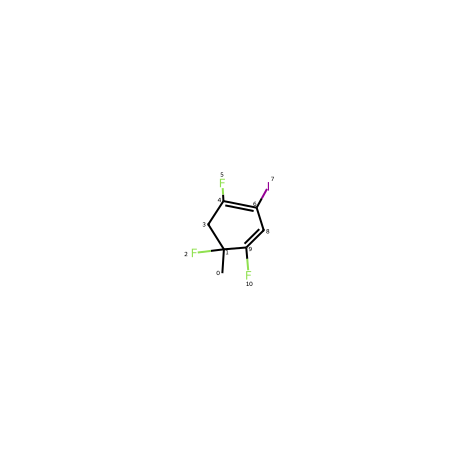 CC1(F)CC(F)=C(I)C=C1F